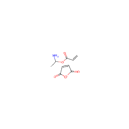 C=CC(=O)OC(C)N.O=C1C=CC(=O)O1